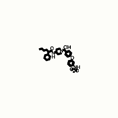 CCCCC(C(=O)NC1CCN(Cc2ccc(Oc3cccc(NS(C)(=O)=O)c3)cc2)CC1)C1CCCCC1.Cl